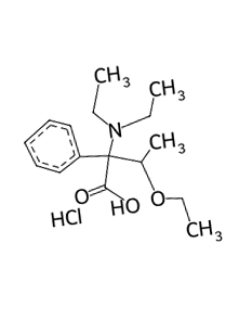 CCOC(C)C(C(=O)O)(c1ccccc1)N(CC)CC.Cl